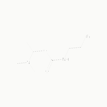 CC(C)CCNC(=O)OC(C)N(C)C